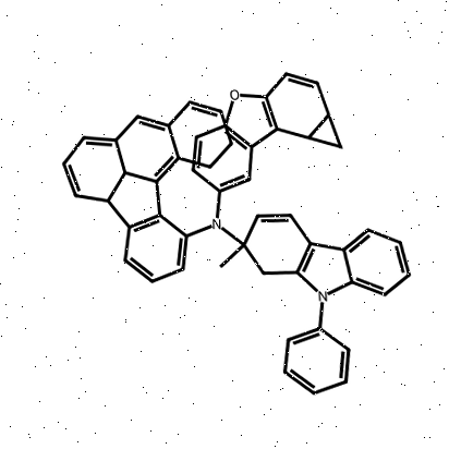 CC1(N(c2ccc3oc4c(c3c2)C2CC2C=C4)c2cccc3c2C2=C4CCC=CC4=CC4=CC=CC3C42)C=Cc2c(n(-c3ccccc3)c3ccccc23)C1